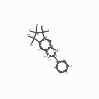 CC1(C)c2cc3nc(-c4ccccc4)[nH]c3cc2C(C)(C)C1(C)C